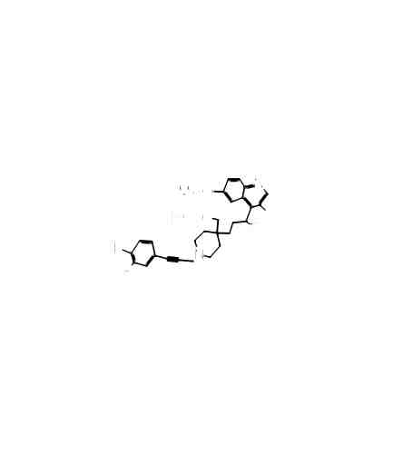 COc1ccc2ncc(Cl)c(C(F)CCC3(CC(=O)O)CCN(CC#Cc4ccc(F)c(F)c4)CC3)c2c1